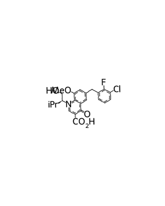 COc1cc(Cc2cccc(Cl)c2F)cc2c(=O)c(C(=O)O)cn([C@H](CO)C(C)C)c12